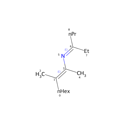 CCCCCC/C(C)=C(C)/N=C(\CC)CCC